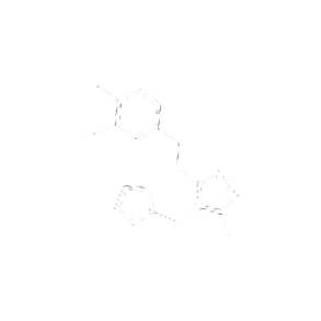 Cc1nnc(SCc2ccc(Cl)c(Cl)c2)n1Cc1ccco1